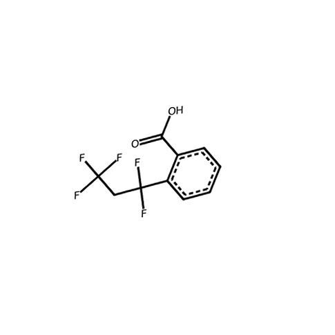 O=C(O)c1ccccc1C(F)(F)CC(F)(F)F